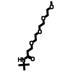 COCCOCCOCCOCCC(=O)NC(C)(C)C